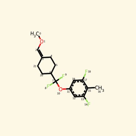 COC=C1CCC(C(F)(F)Oc2cc(F)c(C)c(F)c2)CC1